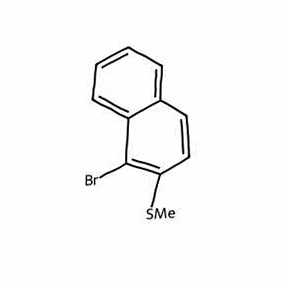 CSc1ccc2ccccc2c1Br